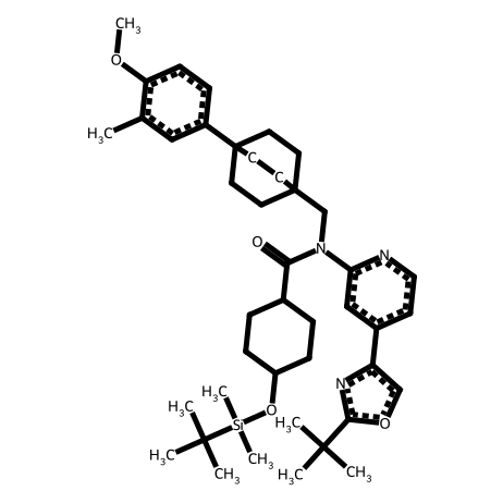 COc1ccc(C23CCC(CN(C(=O)C4CCC(O[Si](C)(C)C(C)(C)C)CC4)c4cc(-c5coc(C(C)(C)C)n5)ccn4)(CC2)CC3)cc1C